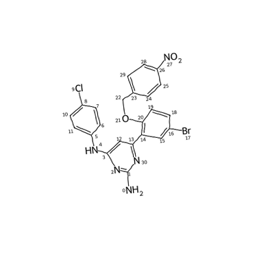 Nc1nc(Nc2ccc(Cl)cc2)cc(-c2cc(Br)ccc2OCc2ccc([N+](=O)[O-])cc2)n1